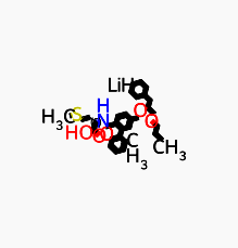 CCCCOCC(CC1CCCCC1)OCc1ccc(C(=O)N[C@@H](CCSC)C(=O)O)c(-c2ccccc2C)c1.[LiH]